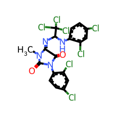 CN1C(=O)N(c2ccc(Cl)cc2Cl)C(=O)C1=NC(Nc1ccc(Cl)cc1Cl)C(Cl)(Cl)Cl